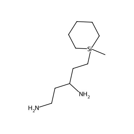 C[Si]1(CCC(N)CCN)CCCCC1